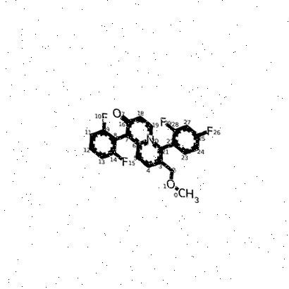 COCc1ccc2c(-c3c(F)cccc3F)c(=O)ccn2c1-c1ccc(F)cc1F